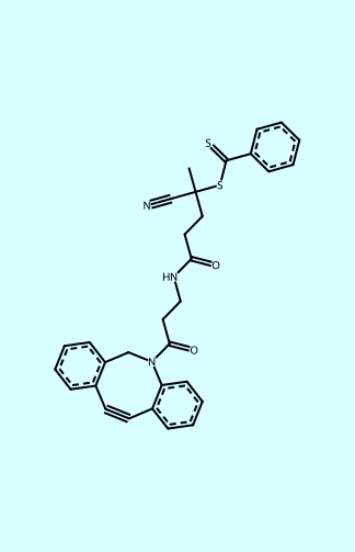 CC(C#N)(CCC(=O)NCCC(=O)N1Cc2ccccc2C#Cc2ccccc21)SC(=S)c1ccccc1